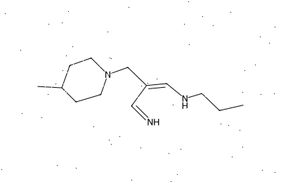 CCCN/C=C(\C=N)CN1CCC(C)CC1